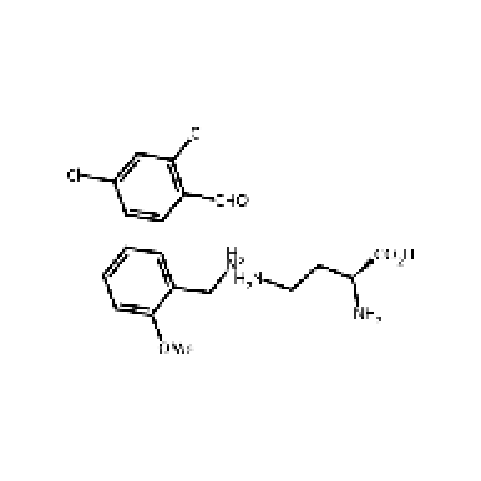 COc1ccccc1CN.NCC[C@H](N)C(=O)O.O=Cc1ccc(Cl)cc1Cl